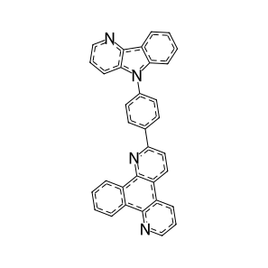 c1ccc2c(c1)c1ncccc1c1ccc(-c3ccc(-n4c5ccccc5c5ncccc54)cc3)nc21